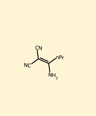 CCCC(N)=C(C#N)C#N